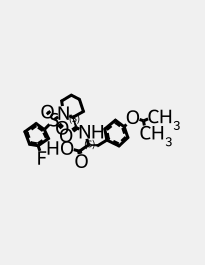 CC(C)Oc1ccc(C[C@H](NC(=O)[C@@H]2CCCCN2S(=O)(=O)c2cccc(F)c2)C(=O)O)cc1